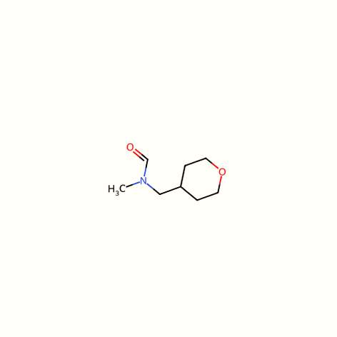 CN(C=O)CC1CCOCC1